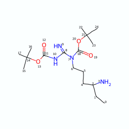 CCC(N)CCCN(C(=N)NC(=O)OC(C)(C)C)C(=O)OC(C)(C)C